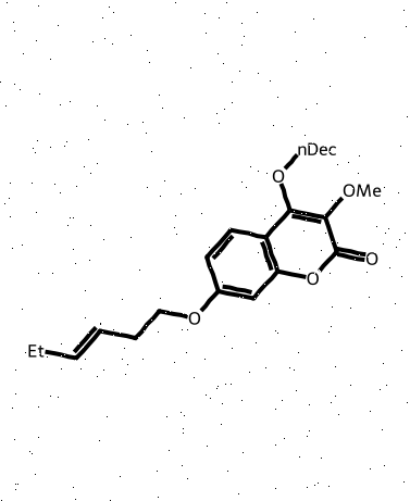 CC/C=C/CCOc1ccc2c(OCCCCCCCCCC)c(OC)c(=O)oc2c1